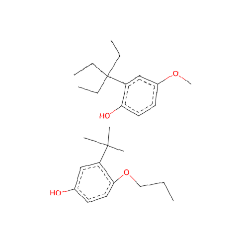 CCC(CC)(CC)c1cc(OC)ccc1O.CCCOc1ccc(O)cc1C(C)(C)C